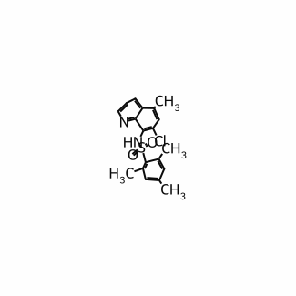 Cc1cc(C)c(S(=O)(=O)Nc2c(Cl)cc(C)c3cccnc23)c(C)c1